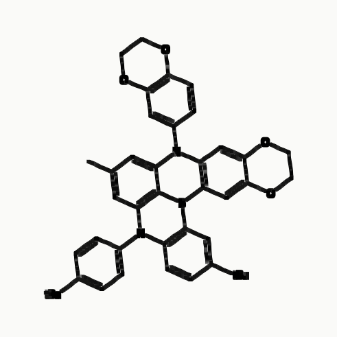 Cc1cc2c3c(c1)N(c1ccc4c(c1)OCCO4)c1cc4c(cc1B3c1cc(C(C)(C)C)ccc1N2c1ccc(C(C)(C)C)cc1)OCCO4